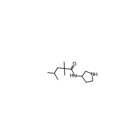 CC(C)CC(C)(C)C(=O)NC1CCNC1